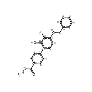 COC(=O)c1ccc(-n2ccc(OCc3ccccc3)c(Br)c2=O)cc1